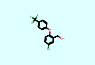 OCc1cc(Br)ccc1Oc1c[c]c(C(F)(F)F)cc1